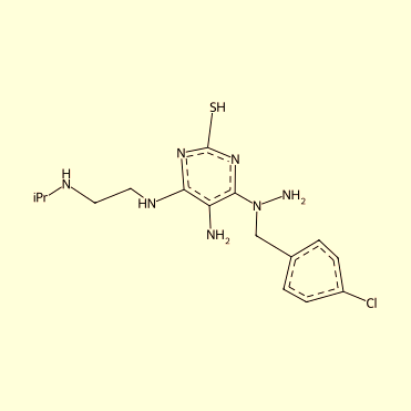 CC(C)NCCNc1nc(S)nc(N(N)Cc2ccc(Cl)cc2)c1N